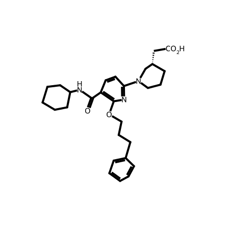 O=C(O)C[C@@H]1CCCN(c2ccc(C(=O)NC3CCCCC3)c(OCCCc3ccccc3)n2)C1